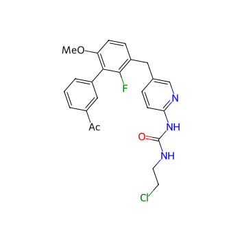 COc1ccc(Cc2ccc(NC(=O)NCCCl)nc2)c(F)c1-c1cccc(C(C)=O)c1